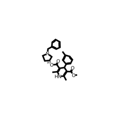 COC(=O)C1=C(C)NC(C)=C(C(=O)O[C@@H]2CCN(Cc3ccccc3)C2)C1c1cccc(C)c1